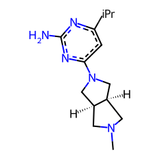 CC(C)c1cc(N2C[C@H]3CN(C)C[C@H]3C2)nc(N)n1